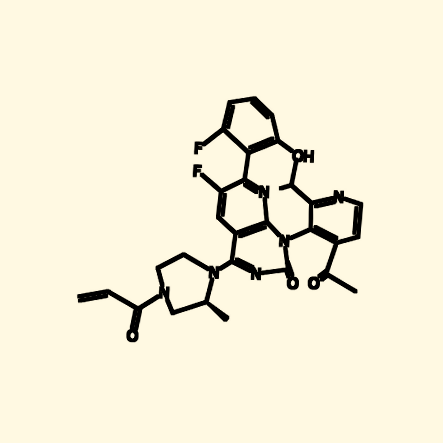 C=CC(=O)N1CCN(c2nc(=O)n(-c3c(C(C)=O)ccnc3C(C)C)c3nc(-c4c(O)cccc4F)c(F)cc23)[C@@H](C)C1